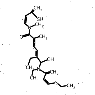 C=C(S)/C=C\N(C)C(=O)/C(C)=C/C=C(\CC)C(O)N(CC)C(=C)/C=C\SCC